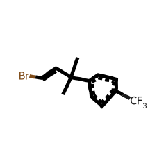 CC(C)(C=CBr)c1ccc(C(F)(F)F)cc1